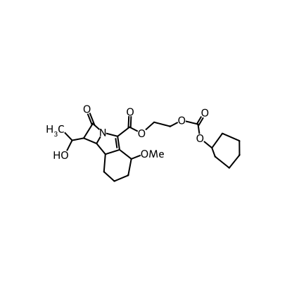 COC1CCCC2C1=C(C(=O)OCCOC(=O)OC1CCCCC1)N1C(=O)C(C(C)O)C21